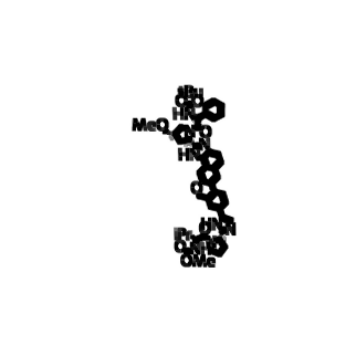 COC[C@H]1C[C@@H](c2nc3ccc4cc5c(cc4c3[nH]2)OCc2cc(-c3cnc([C@@H]4CCCN4C(=O)[C@@H](NC(=O)OC)C(C)C)[nH]3)ccc2-5)N(C(=O)[C@H](NC(=O)OC(C)(C)C)c2ccccc2)C1